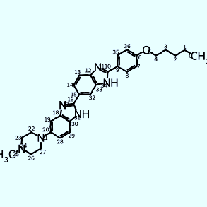 CCCCCOc1ccc(-c2nc3ccc(-c4nc5cc(N6CCN(C)CC6)ccc5[nH]4)cc3[nH]2)cc1